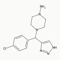 NN1CCN(C(c2ccc(Cl)cc2)c2c[nH]nn2)CC1